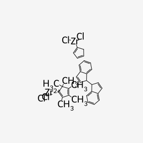 C1=CC(C2C=Cc3ccccc32)c2ccccc21.CC1=C(C)C(C)(C)[C]([Zr+2])=C1C.[Cl-].[Cl-].[Cl][Zr]([Cl])[C]1=CC=CC1